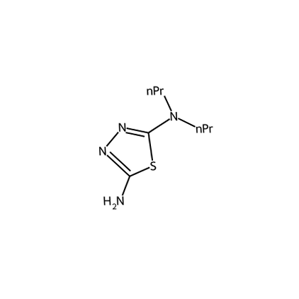 CCCN(CCC)c1nnc(N)s1